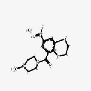 CN1CCN(C(=O)c2cc([N+](=O)[O-])cc3c2OCCO3)CC1.Cl